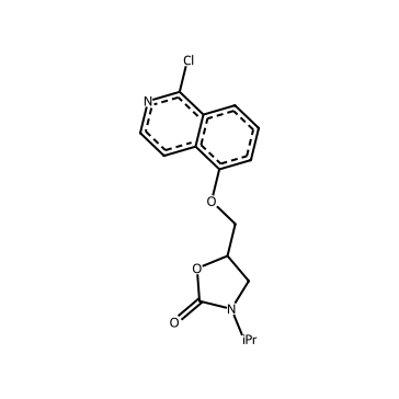 CC(C)N1CC(COc2cccc3c(Cl)nccc23)OC1=O